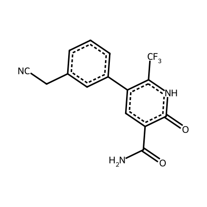 N#CCc1cccc(-c2cc(C(N)=O)c(=O)[nH]c2C(F)(F)F)c1